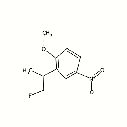 COc1ccc([N+](=O)[O-])cc1[C](C)CF